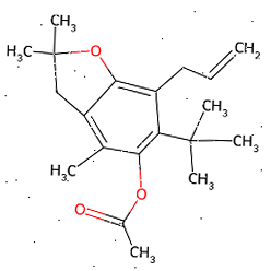 C=CCc1c2c(c(C)c(OC(C)=O)c1C(C)(C)C)CC(C)(C)O2